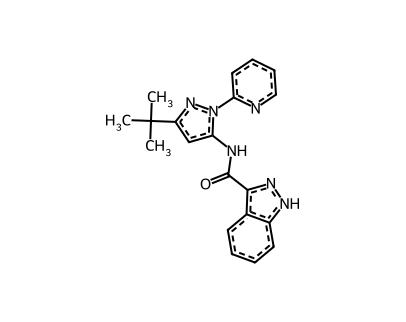 CC(C)(C)c1cc(NC(=O)c2n[nH]c3ccccc23)n(-c2ccccn2)n1